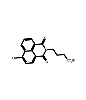 CCOC(=O)CCCN1C(=O)c2cccc3c([N+](=O)[O-])ccc(c23)C1=O